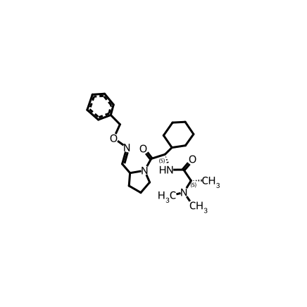 C[C@@H](C(=O)N[C@H](C(=O)N1CCCC1C=NOCc1ccccc1)C1CCCCC1)N(C)C